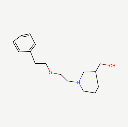 OCC1CCCN(CCOCCc2ccccc2)C1